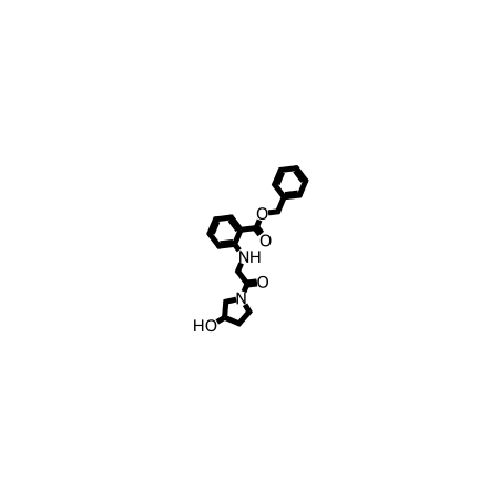 O=C(OCc1ccccc1)c1ccccc1NCC(=O)N1CCC(O)C1